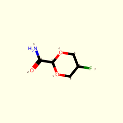 NC(=O)C1OCC(F)CO1